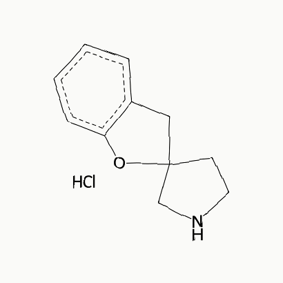 Cl.c1ccc2c(c1)CC1(CCNC1)O2